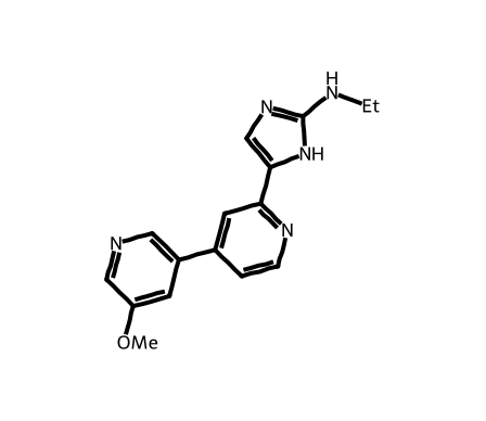 CCNc1ncc(-c2cc(-c3cncc(OC)c3)ccn2)[nH]1